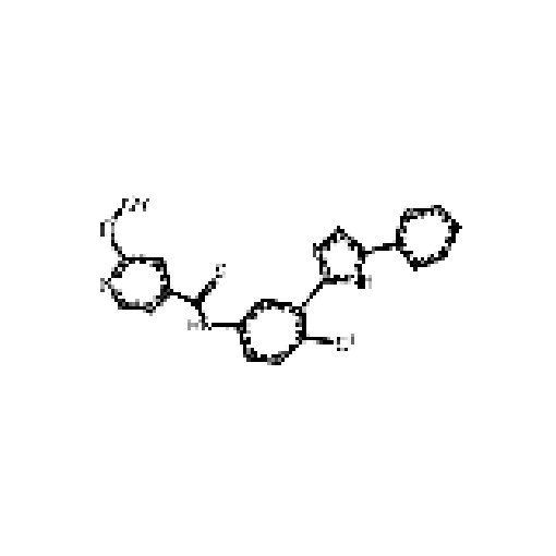 CCCOc1cc(C(=O)Nc2ccc(Cl)c(-c3ncc(-c4ccccc4)[nH]3)c2)ccn1